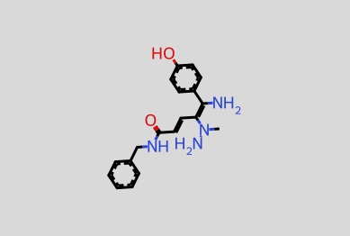 CN(N)C(/C=C/C(=O)NCc1ccccc1)=C(\N)c1ccc(O)cc1